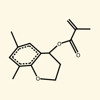 C=C(C)C(=O)OC1CCOc2c(C)cc(C)cc21